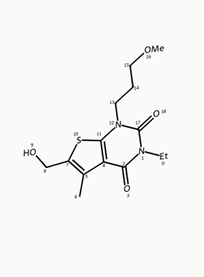 CCn1c(=O)c2c(C)c(CO)sc2n(CCCOC)c1=O